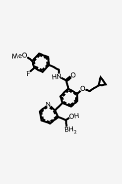 BC(O)c1cccnc1-c1ccc(OCC2CC2)c(C(=O)NCc2ccc(OC)c(F)c2)c1